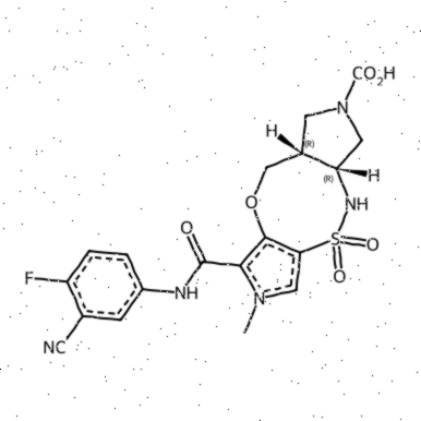 Cn1cc2c(c1C(=O)Nc1ccc(F)c(C#N)c1)OC[C@@H]1CN(C(=O)O)C[C@@H]1NS2(=O)=O